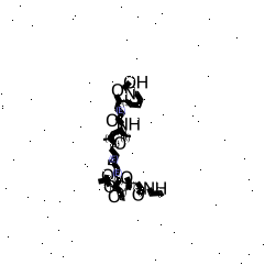 CCCNC(=O)C[C@@H]1C[C@@]2(CO2)[C@H](OC(C)=O)[C@@H](/C=C/C(C)=C/C[C@@H]2O[C@H](C)[C@H](NC(=O)/C=C/C(C)[C@@H]3CCCCN3C(=O)O)C[C@@H]2C)O1